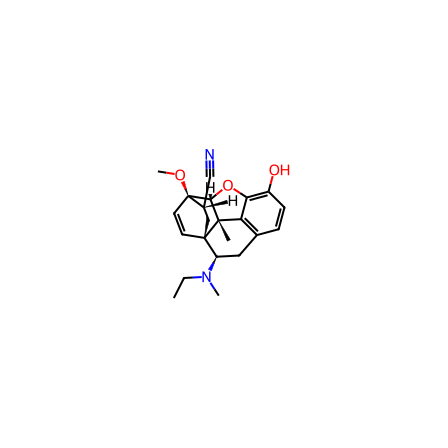 CCN(C)[C@@H]1Cc2ccc(O)c3c2[C@@]2(C)[C@@H](O3)[C@@]3(OC)C=C[C@@]12C[C@H]3C#N